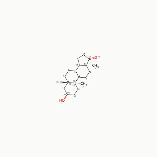 C[C@]12CCC3C(CC[C@H]4C[C@H](O)CC[C@]34C)C1CCC2=O